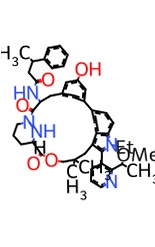 CCn1c(-c2cccnc2[C@H](C)OC)c2c3cc(ccc31)-c1cc(O)cc(c1)C[C@H](NC(=O)CC(C)c1ccccc1)C(=O)N1CCC[C@H](N1)C(=O)OCC(C)(C)C2